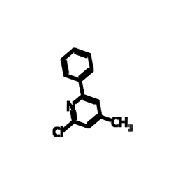 Cc1cc(Cl)nc(-c2ccccc2)c1